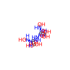 O=C1c2c(O)ccc(O)c2C(=O)c2c(NCCNCCNc3ccc(NCCNCCO)c4c3C(=O)c3c(O)ccc(O)c3C4=O)ccc(NCCNCCO)c21